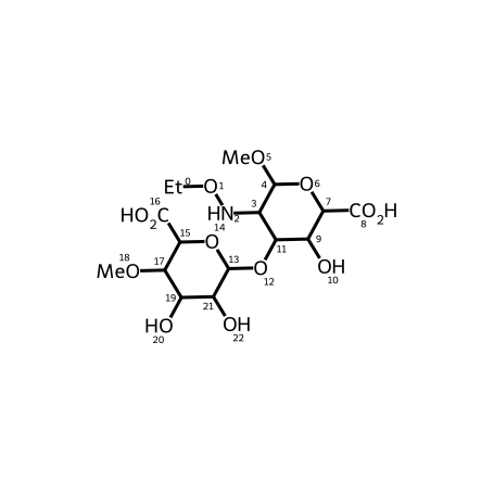 CCONC1C(OC)OC(C(=O)O)C(O)C1OC1OC(C(=O)O)C(OC)C(O)C1O